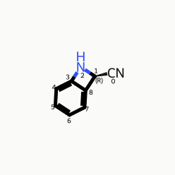 N#C[C@@H]1Nc2ccccc21